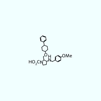 COc1ccc(CNC2CCN(C(=O)O)C2COC2CCC(c3ccccc3)CC2)cc1